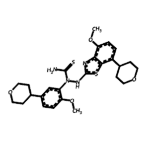 COc1ccc(C2CCOCC2)cc1N(Nc1nc2c(OC)ccc(C3CCOCC3)c2s1)C(N)=S